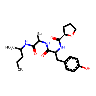 CCC(C)C(NC(=O)C(Cc1ccc(O)cc1)NC(=O)[C@H]1CCCO1)C(=O)NC(CCC(F)(F)F)C(=O)O